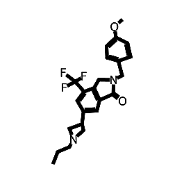 CCCN1CC(c2cc3c(c(C(F)(F)F)c2)CN(Cc2ccc(OC)cc2)C3=O)C1